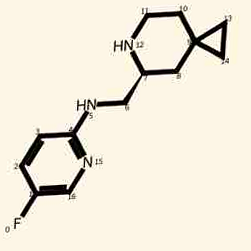 Fc1ccc(NC[C@@H]2CC3(CCN2)CC3)nc1